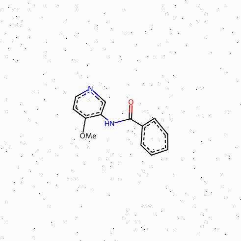 COc1ccncc1NC(=O)c1ccccc1